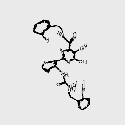 O=C(NCc1ccccc1Cl)Nc1ccsc1-c1nc(O)c(O)c(C(=O)NCc2ccccc2Cl)n1